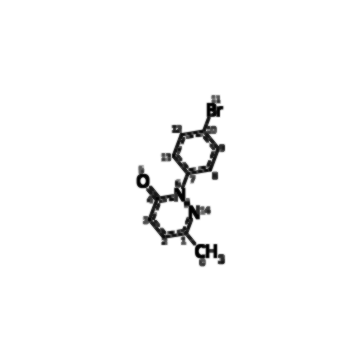 Cc1ccc(=O)n(-c2ccc(Br)cc2)n1